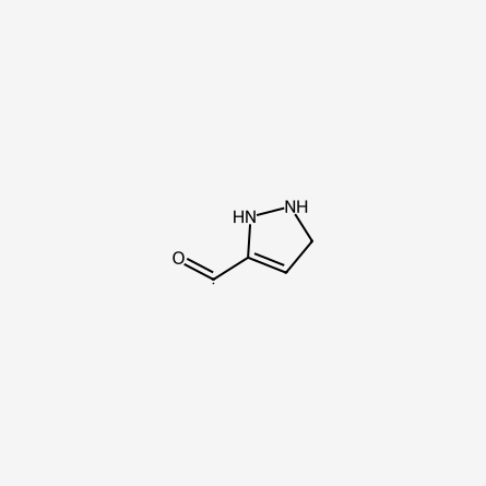 O=[C]C1=CCNN1